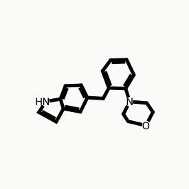 c1ccc(N2CCOCC2)c(Cc2ccc3[nH]ccc3c2)c1